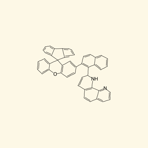 C1=CC(c2c(-c3ccc4c(c3)C3(c5ccccc5O4)c4ccccc4-c4ccccc43)ccc3ccccc23)Nc2c1ccc1cccnc21